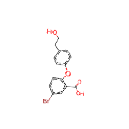 O=C(O)c1cc(Br)ccc1Oc1ccc(CCO)cc1